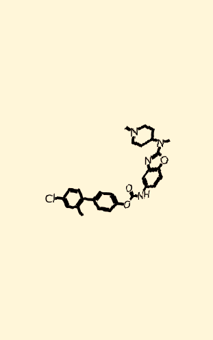 Cc1cc(Cl)ccc1-c1ccc(OC(=O)Nc2ccc3oc(N(C)C4CCN(C)CC4)nc3c2)cc1